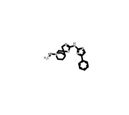 CB[N+]12CCC(CC1)C1(CN=C(Nc3ncc(-c4ccccc4)s3)O1)C2